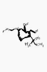 CC(C)(C)c1ccc([SiH2]O)c(O)c1O